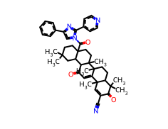 CC1(C)CCC2(C(=O)n3cc(-c4ccccc4)nc3-c3ccncc3)CCC3(C)C(C(=O)C=C4C5(C)C=C(C#N)C(=O)C(C)(C)C5CCC43C)C2C1